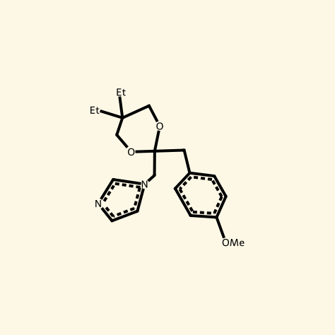 CCC1(CC)COC(Cc2ccc(OC)cc2)(Cn2ccnc2)OC1